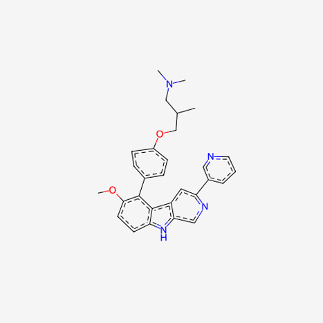 COc1ccc2[nH]c3cnc(-c4cccnc4)cc3c2c1-c1ccc(OCC(C)CN(C)C)cc1